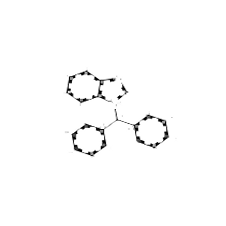 [c]1nc2ccccc2n1C(c1ccccc1)c1ccccc1